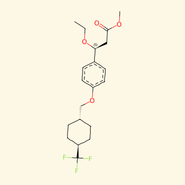 CCO[C@@H](CC(=O)OC)c1ccc(OC[C@H]2CC[C@H](C(F)(F)F)CC2)cc1